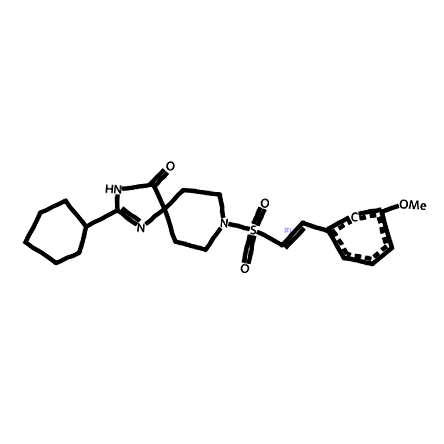 COc1cccc(/C=C/S(=O)(=O)N2CCC3(CC2)N=C(C2CCCCC2)NC3=O)c1